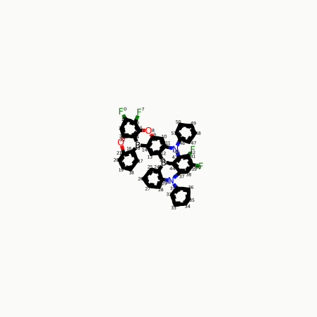 Fc1cc2c3c(c1F)Oc1cc4c(cc1B3c1ccccc1O2)B1c2ccccc2N(c2ccccc2)c2cc(F)c(F)c(c21)N4c1ccccc1